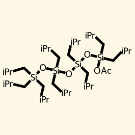 CC(=O)O[Si](CC(C)C)(CC(C)C)O[Si](CC(C)C)(CC(C)C)O[Si](CC(C)C)(CC(C)C)O[Si](CC(C)C)(CC(C)C)CC(C)C